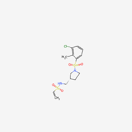 C=CS(=O)(=O)NC[C@H]1CCN(S(=O)(=O)c2cccc(Cl)c2C)C1